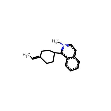 CC=C1CCC(c2c3ccccc3cc[n+]2C)CC1